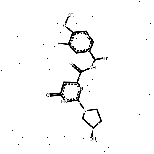 CC(C)C(NC(=O)c1cc(=O)[nH]c(N2CC[C@@H](O)C2)n1)c1ccc(OC(F)(F)F)c(F)c1